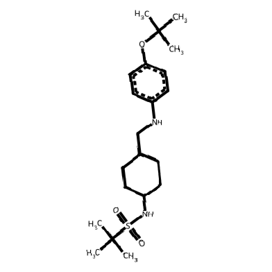 CC(C)(C)Oc1ccc(NCC2CCC(NS(=O)(=O)C(C)(C)C)CC2)cc1